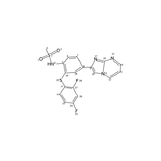 CS(=O)(=O)Nc1ccc(-c2cn3cccnc3n2)cc1Sc1ccc(F)cc1F